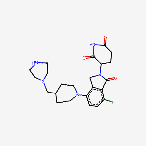 O=C1CCC(N2Cc3c(N4CCC(CN5CCNCC5)CC4)ccc(F)c3C2=O)C(=O)N1